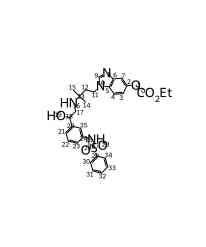 CCOC(=O)Oc1ccc2c(c1)ncn2CCC(C)(C)NCC(O)c1cccc(NS(=O)(=O)c2ccccc2)c1